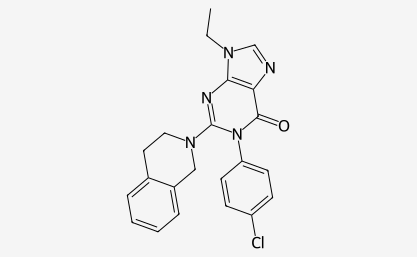 CCn1cnc2c(=O)n(-c3ccc(Cl)cc3)c(N3CCc4ccccc4C3)nc21